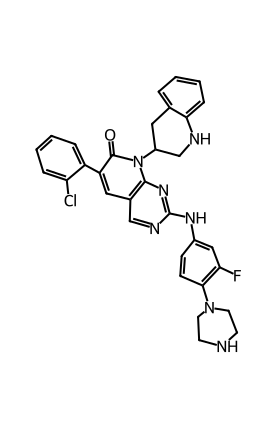 O=c1c(-c2ccccc2Cl)cc2cnc(Nc3ccc(N4CCNCC4)c(F)c3)nc2n1C1CNc2ccccc2C1